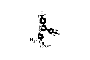 Cc1cc(Sc2cc(-c3ccc(C(F)(F)F)cc3)cc(-c3ccc(C(F)(F)F)cc3)n2)ccc1OCC(=O)O